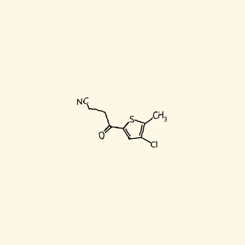 Cc1sc(C(=O)CCC#N)cc1Cl